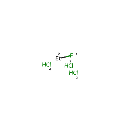 CCF.Cl.Cl.Cl